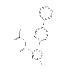 C=[N+](NC(=N)N)c1cc(Cl)cn1-c1ccc(-c2ccccc2)cc1